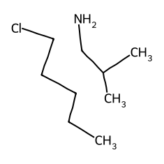 CC(C)CN.CCCCCCl